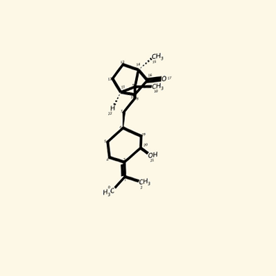 CC(C)=C1CC[C@@H](CCC2(C)[C@@H]3CC[C@@]2(C)C(=O)C3)CC1O